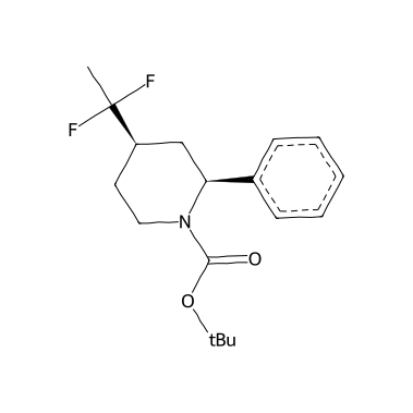 CC(C)(C)OC(=O)N1CC[C@@H](C(C)(F)F)C[C@H]1c1ccccc1